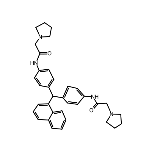 O=C(CN1CCCC1)Nc1ccc(C(c2ccc(NC(=O)CN3CCCC3)cc2)c2cccc3ccccc23)cc1